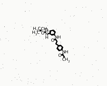 C=CC(=O)Nc1ccc(CCC(=O)Nc2cccc(NC(=O)OC(C)(C)C)c2)cc1